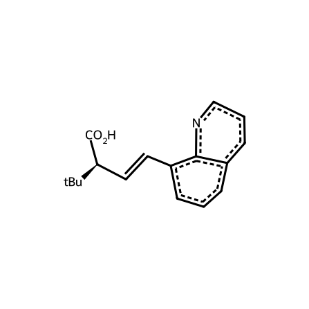 CC(C)(C)[C@H](/C=C/c1cccc2cccnc12)C(=O)O